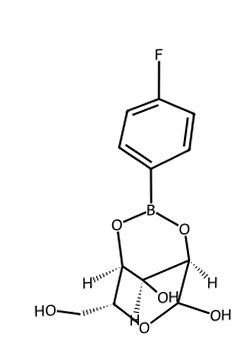 OC[C@H]1OC(O)[C@@H]2OB(c3ccc(F)cc3)O[C@H]1[C@@H]2O